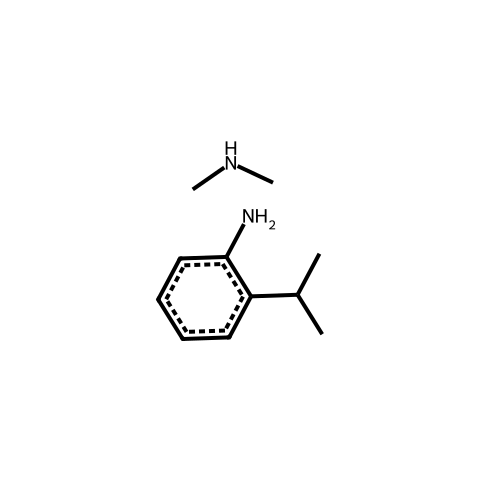 CC(C)c1ccccc1N.CNC